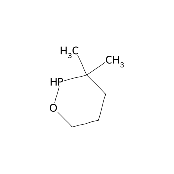 CC1(C)CCCOP1